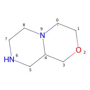 [CH]1COCC2CNCCN12